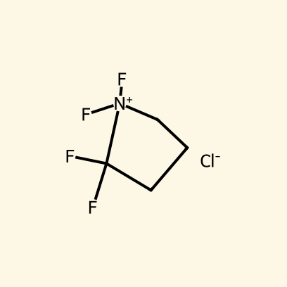 FC1(F)CCC[N+]1(F)F.[Cl-]